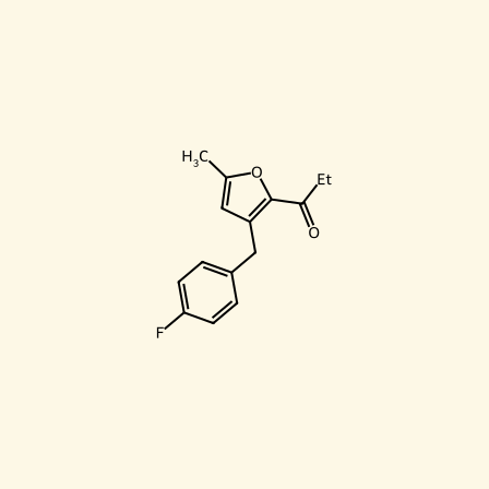 CCC(=O)c1oc(C)cc1Cc1ccc(F)cc1